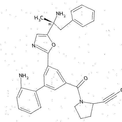 CC#CC1CCCN1C(=O)c1cc(-c2ncc([C@](C)(N)Cc3ccccc3)o2)cc(-c2ccccc2N)c1